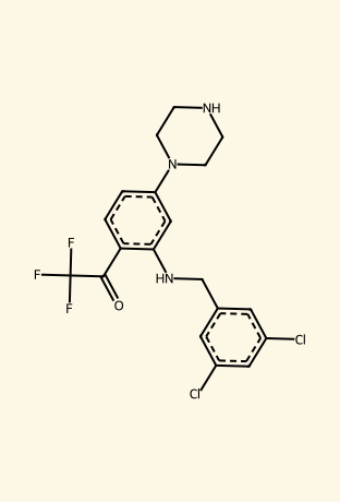 O=C(c1ccc(N2CCNCC2)cc1NCc1cc(Cl)cc(Cl)c1)C(F)(F)F